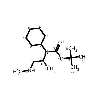 CNC[C@H](C)N(C(=O)OC(C)(C)C)C1CCCCC1